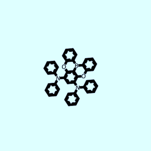 c1ccc(N(c2ccccc2)c2cc(N(c3ccccc3)c3ccccc3)c3c4c2Oc2ccccc2B4c2ccccc2O3)cc1